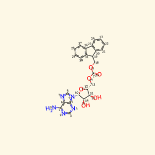 Nc1ncnc2c1ncn2[C@@H]1O[C@H](COC(=O)OCC2c3ccccc3-c3ccccc32)[C@@H](O)[C@H]1O